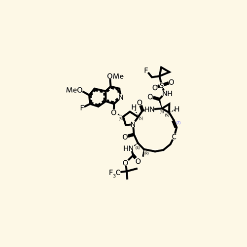 COc1cc2c(OC)cnc(O[C@@H]3C[C@H]4C(=O)N[C@]5(C(=O)NS(=O)(=O)C6(CF)CC6)C[C@H]5/C=C\CCCC[C@@H](C)[C@H](NC(=O)OC(C)(C)C(F)(F)F)C(=O)N4C3)c2cc1F